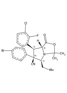 CC(C)(C)C[C@@H]1N2[C@@H](C(=O)OC2(C)C)[C@H](c2cccc(Cl)c2F)[C@@]1(C#N)c1ccc(Br)cc1